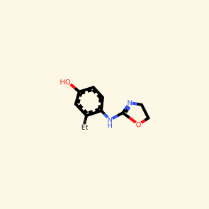 CCc1cc(O)ccc1NC1=NCCO1